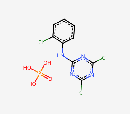 Clc1nc(Cl)nc(Nc2ccccc2Cl)n1.O=P(O)(O)O